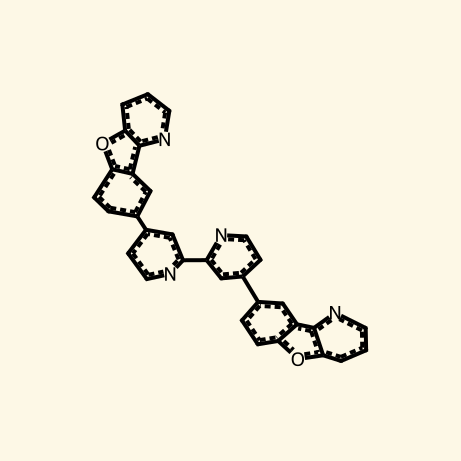 c1cnc2c(c1)oc1ccc(-c3ccnc(-c4cc(-c5ccc6oc7cccnc7c6c5)ccn4)c3)cc12